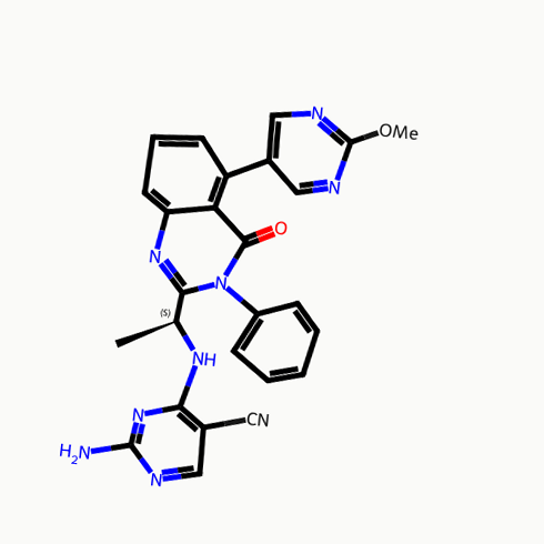 COc1ncc(-c2cccc3nc([C@H](C)Nc4nc(N)ncc4C#N)n(-c4ccccc4)c(=O)c23)cn1